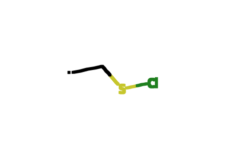 [CH2]CSCl